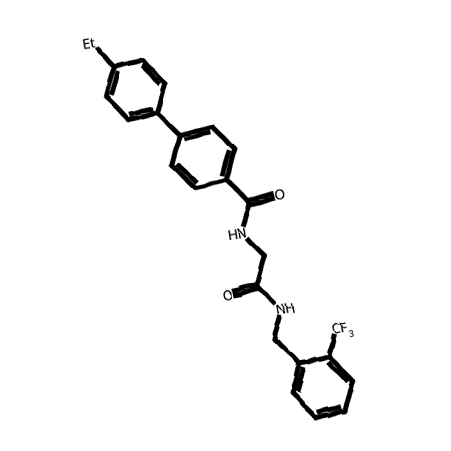 CCc1ccc(-c2ccc(C(=O)NCC(=O)NCc3ccccc3C(F)(F)F)cc2)cc1